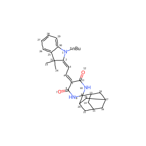 CCCCN1/C(=C/C=C2C(=O)NC3(NC2=O)C2CC4CC(C2)CC3C4)C(C)(C)c2ccccc21